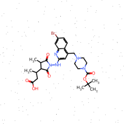 CC(CC(=O)O)C1C(=O)N(Nc2cc(CN3CCN(C(=O)OC(C)(C)C)CC3)c3ccc(Br)cc3n2)C(=O)C1C